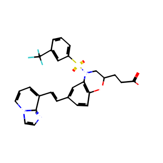 O=C(O)CCC1CN(S(=O)(=O)c2cccc(C(F)(F)F)c2)c2cc(C=Cc3cccn4ccnc34)ccc2O1